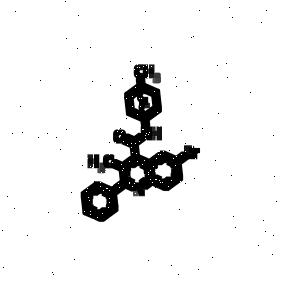 Cc1c(-c2ccccc2)nc2ccc(Br)cc2c1C(=O)NC12CCC(C)(CC1)CC2